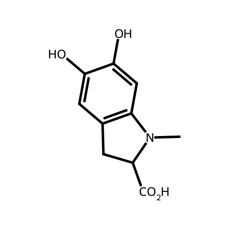 CN1c2cc(O)c(O)cc2CC1C(=O)O